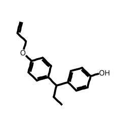 C=CCOc1ccc(C(CC)c2ccc(O)cc2)cc1